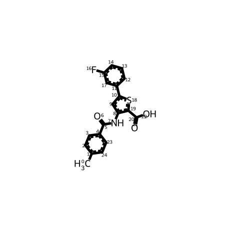 Cc1ccc(C(=O)Nc2cc(-c3cccc(F)c3)sc2C(=O)O)cc1